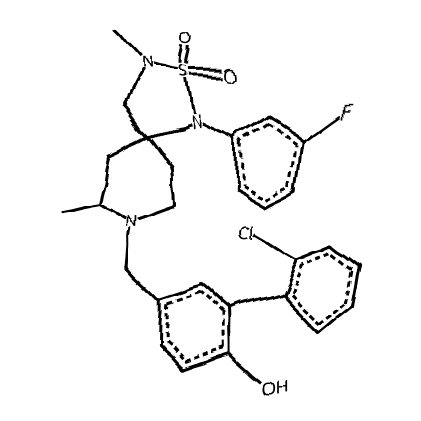 CC1CC2(CCN1Cc1ccc(O)c(-c3ccccc3Cl)c1)CN(C)S(=O)(=O)N2c1cccc(F)c1